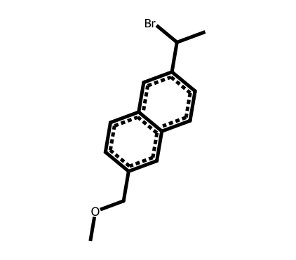 COCc1ccc2cc(C(C)Br)ccc2c1